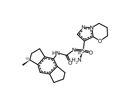 C[C@H]1CCc2c1cc1c(c2NC(=O)N=[S@@](N)(=O)c2cnn3c2OCCC3)CCC1